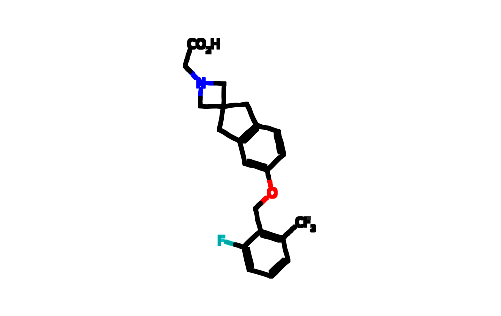 O=C(O)CN1CC2(Cc3ccc(OCc4c(F)cccc4C(F)(F)F)cc3C2)C1